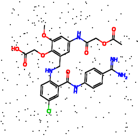 COc1cc(NC(=O)COC(C)=O)cc(CNc2ccc(Cl)cc2C(=O)Nc2ccc(C(=N)N)cc2)c1OCC(=O)O